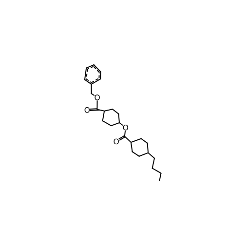 CCCCC1CCC(C(=O)OC2CCC(C(=O)OCc3ccccc3)CC2)CC1